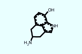 NC1Cc2ccc(O)c3[nH]cc(c23)C1